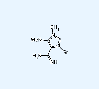 CNc1c(C(=N)N)c(Br)cn1C